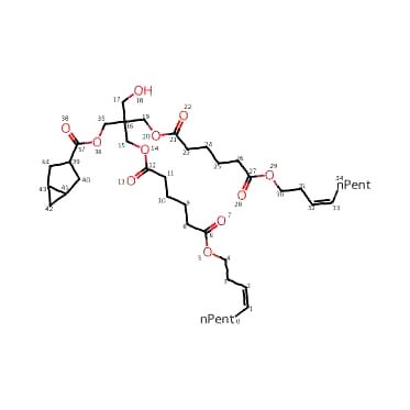 CCCCC/C=C\CCOC(=O)CCCCC(=O)OCC(CO)(COC(=O)CCCCC(=O)OCC/C=C\CCCCC)COC(=O)C1CC2CC2C1